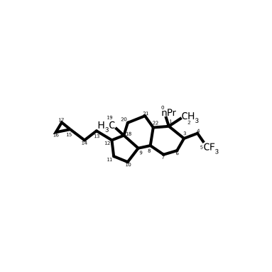 CCCC1(C)C(CC(F)(F)F)CCC2C3CCC(CCC4CC4)C3(C)CCC21